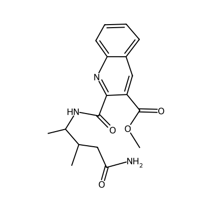 COC(=O)c1cc2ccccc2nc1C(=O)NC(C)C(C)CC(N)=O